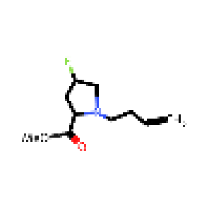 C=CCCN1CC(F)CC1C(=O)OC